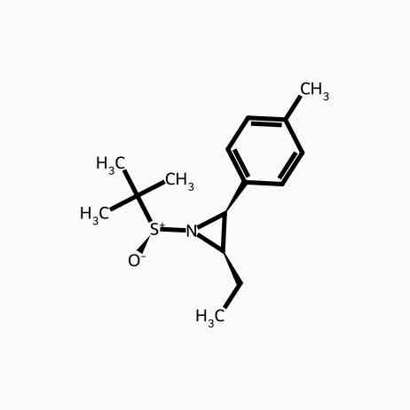 CC[C@@H]1[C@H](c2ccc(C)cc2)N1[S@@+]([O-])C(C)(C)C